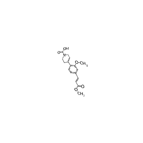 COC(=O)C=Cc1ccc(C2=CCN(C(=O)O)CC2)c(OC)c1